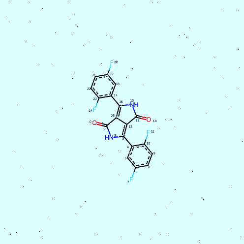 O=C1NC(c2cc(F)ccc2F)=C2C(=O)NC(c3cc(F)ccc3F)=C12